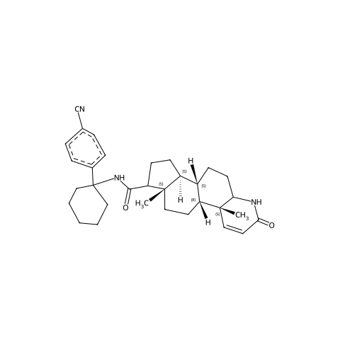 C[C@]12C=CC(=O)NC1CC[C@@H]1[C@H]2CC[C@]2(C)C(C(=O)NC3(c4ccc(C#N)cc4)CCCCC3)CC[C@@H]12